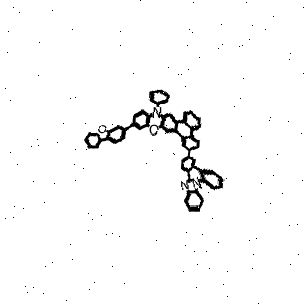 c1ccc(N2c3ccc(-c4ccc5c(c4)oc4ccccc45)cc3Oc3cc4c5cc(-c6ccc7c(c6)c6ccccc6n6c8ccccc8nc76)ccc5c5ccccc5c4cc32)cc1